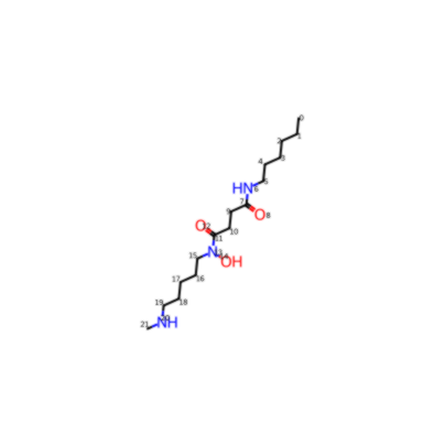 CCCCCCNC(=O)CCC(=O)N(O)CCCCCNC